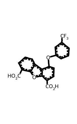 O=C(O)c1cccc2c1oc1c(C(=O)O)ccc(Oc3cccc(C(F)(F)F)c3)c12